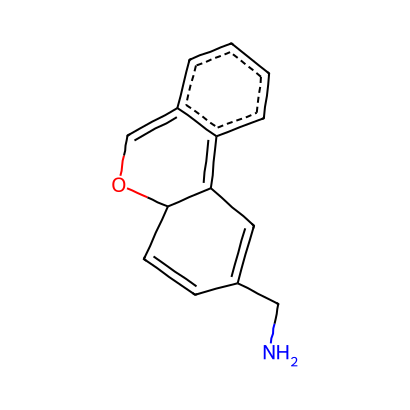 NCC1=CC2=c3ccccc3=COC2C=C1